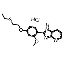 CCSCCOc1ccc(-c2nc3ncccc3[nH]2)c(OC)c1.Cl